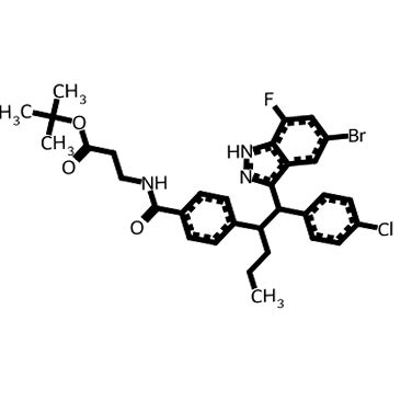 CCCC(c1ccc(C(=O)NCCC(=O)OC(C)(C)C)cc1)C(c1ccc(Cl)cc1)c1n[nH]c2c(F)cc(Br)cc12